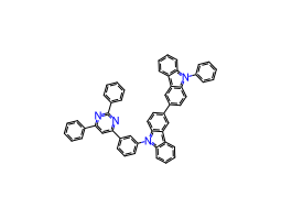 c1ccc(-c2cc(-c3cccc(-n4c5ccccc5c5cc(-c6ccc7c(c6)c6ccccc6n7-c6ccccc6)ccc54)c3)nc(-c3ccccc3)n2)cc1